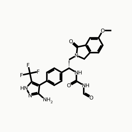 COc1ccc2c(c1)C(=O)N(C[C@H](NC(=O)NC=O)c1ccc(-c3c(N)n[nH]c3C(F)(F)F)cc1)C2